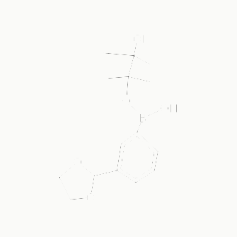 CC(C)(O)C(C)(C)OB(O)c1cccc(C2OCCO2)c1